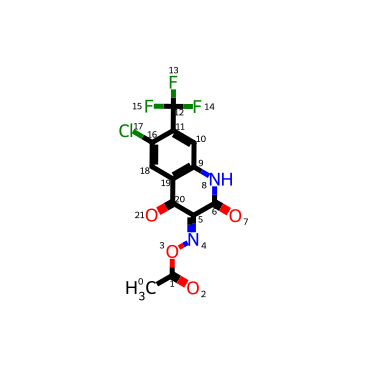 CC(=O)ON=C1C(=O)Nc2cc(C(F)(F)F)c(Cl)cc2C1=O